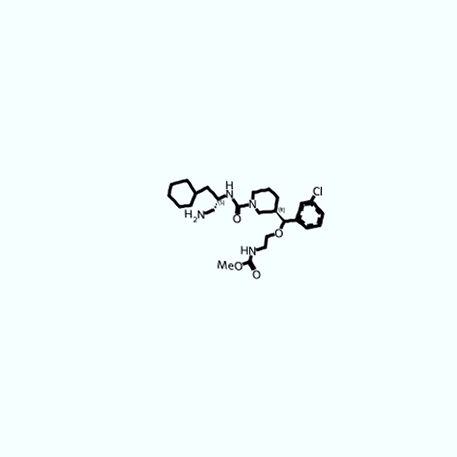 COC(=O)NCCOC(c1cccc(Cl)c1)[C@@H]1CCCN(C(=O)N[C@H](CN)CC2CCCCC2)C1